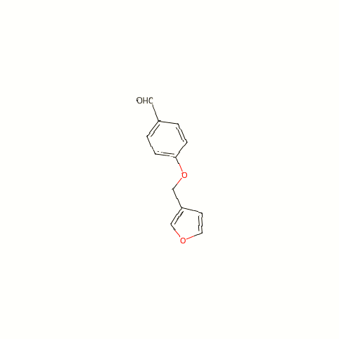 O=Cc1ccc(OCc2ccoc2)cc1